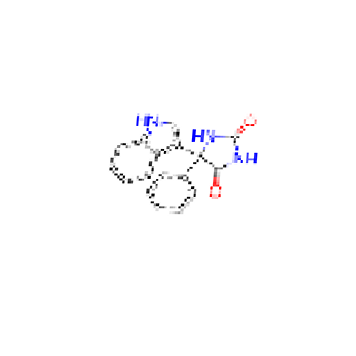 O=C1NC(=O)C(c2ccccc2)(c2c[nH]c3ccccc23)N1